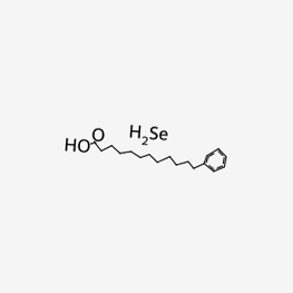 O=C(O)CCCCCCCCCCCc1ccccc1.[SeH2]